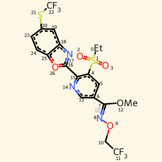 CCS(=O)(=O)c1cc(/C(=N/OCC(F)(F)F)OC)cnc1-c1nc2cc(SC(F)(F)F)ccc2o1